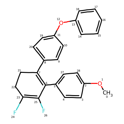 COc1ccc(C2=C(c3ccc(Oc4ccccc4)cc3)C[CH]C(F)=C2F)cc1